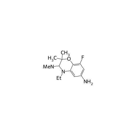 CCN1c2cc(N)cc(F)c2OC(C)(C)C1NC